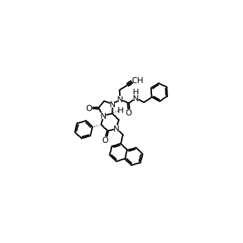 C#CCN(C(=O)NCc1ccccc1)N1CC(=O)N2[C@@H](c3ccccc3)C(=O)N(Cc3cccc4ccccc34)C[C@@H]21